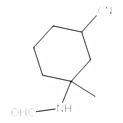 CC1(NC=O)CCCC(C#N)C1